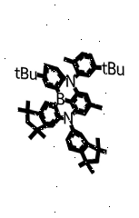 Cc1cc2c3c(c1)N(c1cc(C(C)(C)C)ccc1C)c1ccc(C(C)(C)C)cc1B3c1cc3c(cc1N2c1ccc2c(c1)C(C)(C)CC2(C)C)C(C)(C)CC3(C)C